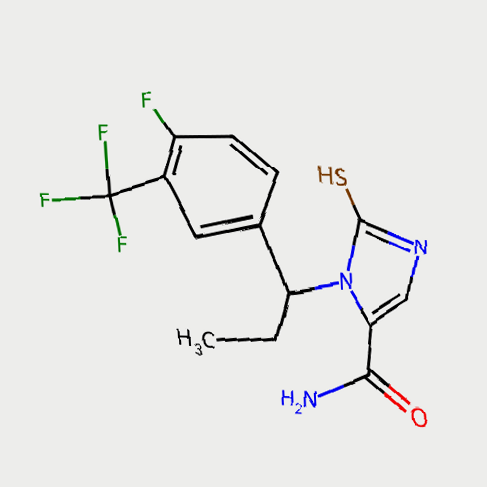 CCC(c1ccc(F)c(C(F)(F)F)c1)n1c(C(N)=O)cnc1S